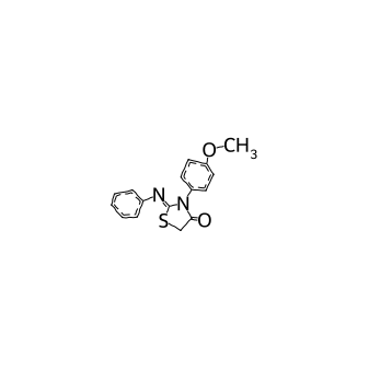 COc1ccc(N2C(=O)CS/C2=N\c2ccccc2)cc1